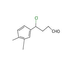 Cc1ccc(C(Cl)CCC=O)cc1C